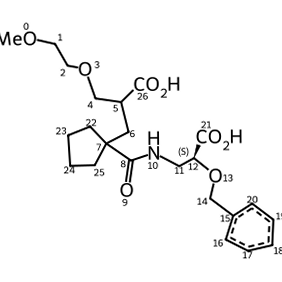 COCCOCC(CC1(C(=O)NC[C@H](OCc2ccccc2)C(=O)O)CCCC1)C(=O)O